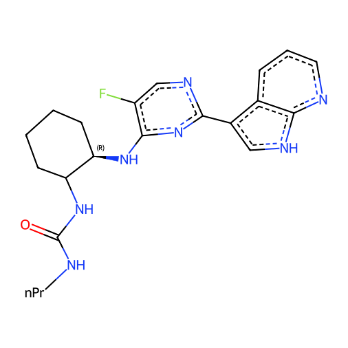 CCCNC(=O)NC1CCCC[C@H]1Nc1nc(-c2c[nH]c3ncccc23)ncc1F